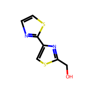 OCc1nc(-c2nccs2)cs1